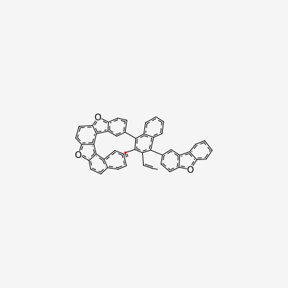 C=Cc1c(/C=C\C)c(-c2ccc3oc4ccccc4c3c2)c2ccccc2c1-c1ccc2oc3ccc4oc5ccc6ccccc6c5c4c3c2c1